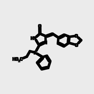 O=C(O)CCN(C1=N/C(=C\c2ccc3c(c2)OCO3)C(=O)N1)c1ccccc1